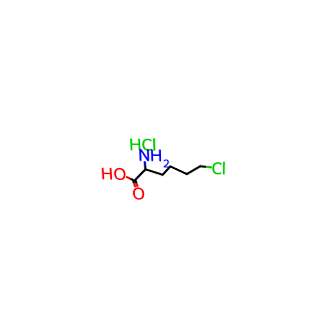 Cl.NC(CCCCCl)C(=O)O